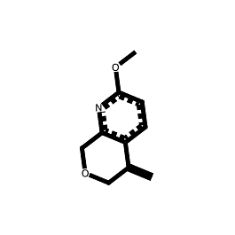 C=C1COCc2nc(OC)ccc21